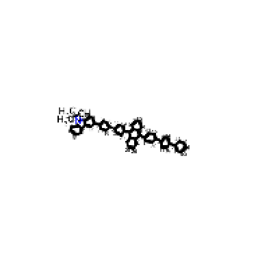 CC(C)(C)n1c2ccccc2c2cc(-c3ccc(-c4ccc(-c5c6ccccc6c(-c6ccc(-c7ccc(-c8ccccc8)cc7)cc6)c6ccccc56)cc4)cc3)ccc21